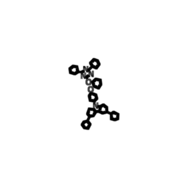 c1ccc(-c2ccc3c(c2)c2cc(-c4ccccc4)ccc2n3-c2ccc(Oc3ccccc3Oc3nc(-c4ccccc4)nc(-c4ccccc4)n3)cc2)cc1